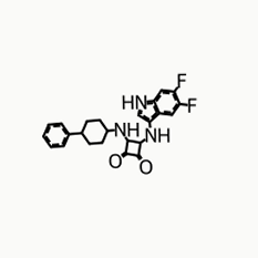 O=C1C(=O)C(NC2CCC(c3ccccc3)CC2)C1Nc1c[nH]c2cc(F)c(F)cc12